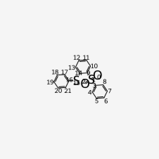 O=S(=O)(c1ccccc1)c1ccccc1Sc1ccccc1